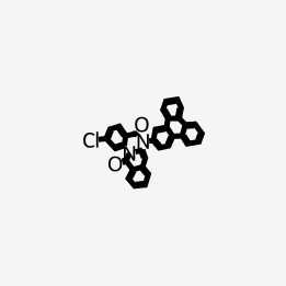 O=c1c2ccc(Cl)cc2n2c(=O)c3ccccc3cc2n1-c1ccc2c3ccccc3c3ccccc3c2c1